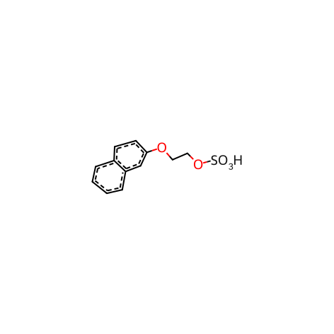 O=S(=O)(O)OCCOc1ccc2ccccc2c1